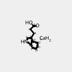 O=C(O)CCc1c[nH]c2ccccc12.[CaH2]